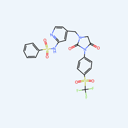 O=C1CN(Cc2ccnc(NS(=O)(=O)c3ccccc3)c2)C(=O)N1c1ccc(S(=O)(=O)C(F)(F)F)cc1